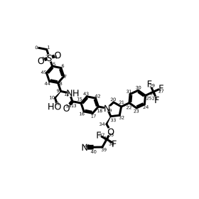 CCS(=O)(=O)c1ccc([C@H](CO)NC(=O)c2ccc(N3CC(c4ccc(C(F)(F)F)cc4)C[C@H]3COC(F)(F)CC#N)cc2)cc1